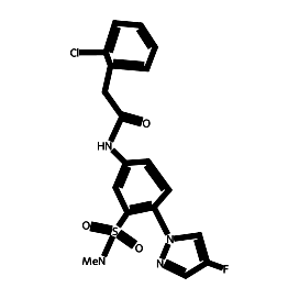 CNS(=O)(=O)c1cc(NC(=O)Cc2ccccc2Cl)ccc1-n1cc(F)cn1